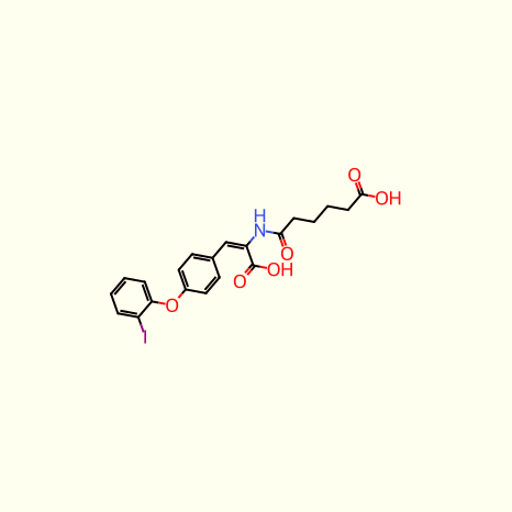 O=C(O)CCCCC(=O)N/C(=C/c1ccc(Oc2ccccc2I)cc1)C(=O)O